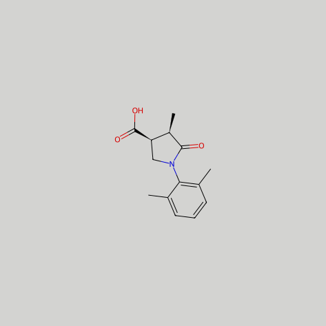 Cc1cccc(C)c1N1C[C@@H](C(=O)O)[C@@H](C)C1=O